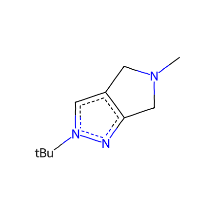 CN1Cc2cn(C(C)(C)C)nc2C1